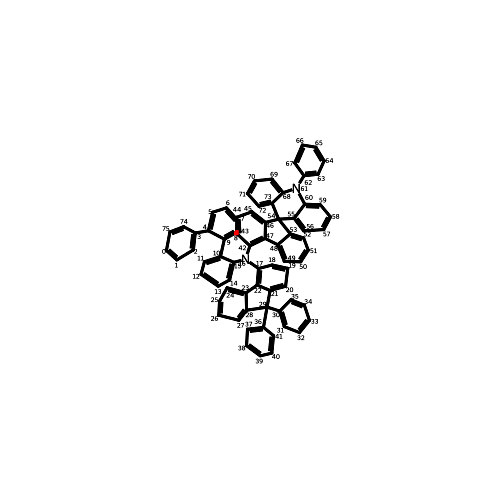 c1ccc(-c2ccccc2-c2ccccc2N(c2cccc3c2-c2ccccc2C3(c2ccccc2)c2ccccc2)c2cccc3c2-c2ccccc2C32c3ccccc3N(c3ccccc3)c3ccccc32)cc1